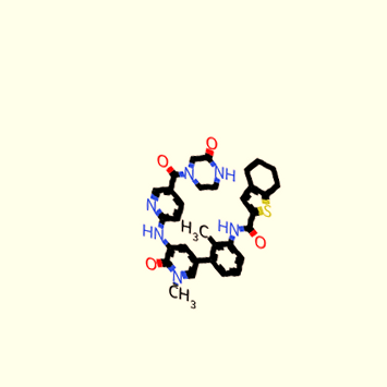 Cc1c(NC(=O)c2cc3c(s2)CCCC3)cccc1-c1cc(Nc2ccc(C(=O)N3CCNC(=O)C3)cn2)c(=O)n(C)c1